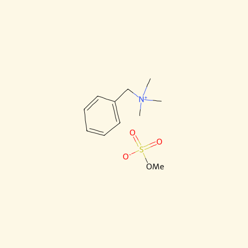 COS(=O)(=O)[O-].C[N+](C)(C)Cc1ccccc1